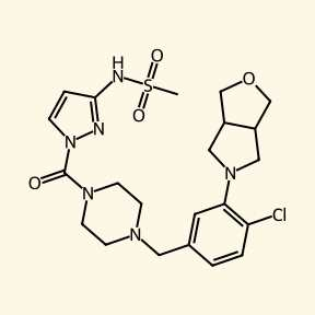 CS(=O)(=O)Nc1ccn(C(=O)N2CCN(Cc3ccc(Cl)c(N4CC5COCC5C4)c3)CC2)n1